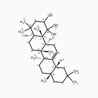 CC1(C)CC[C@]2(C)CC[C@]3(C)C(=CC[C@@H]4[C@]5(C)[C@@H](CC[C@]43C)C(C)(C)CC(O)C5(O)O)[C@@H]2C1